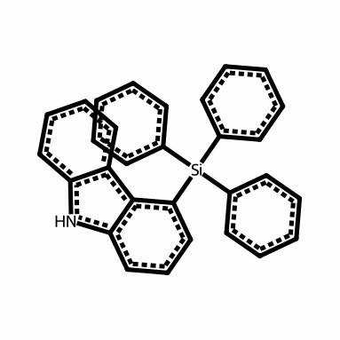 c1ccc([Si](c2ccccc2)(c2ccccc2)c2cccc3[nH]c4ccccc4c23)cc1